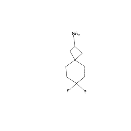 NC1CC2(CCC(F)(F)CC2)C1